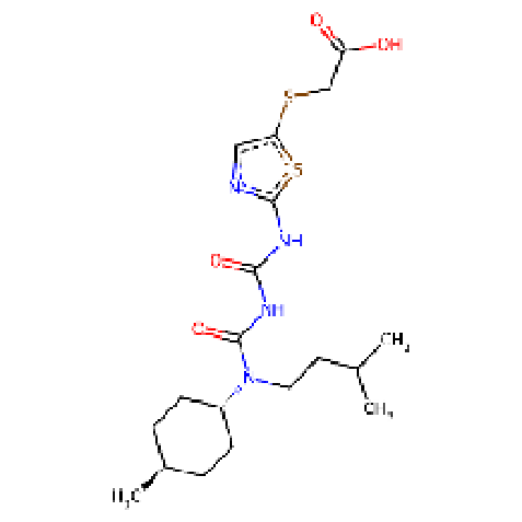 CC(C)CCN(C(=O)NC(=O)Nc1ncc(SCC(=O)O)s1)[C@H]1CC[C@H](C)CC1